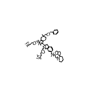 CN(C(=O)CN1CCCCC1=O)c1ccc2cc(-c3nn(COCC[Si](C)(C)C)c4c3CCC(C)(COCc3ccccc3)C4)n(COCC[Si](C)(C)C)c2c1